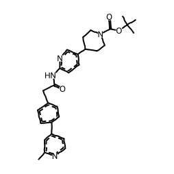 Cc1cc(-c2ccc(CC(=O)Nc3ccc(C4CCN(C(=O)OC(C)(C)C)CC4)cn3)cc2)ccn1